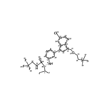 CC(C)[C@@H](Nc1cncc(-c2cn(COCC[Si](C)(C)C)c3ncc(Cl)cc23)c1)C(=O)NCC(F)(F)F